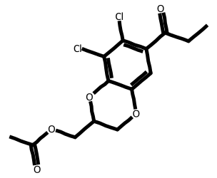 CCC(=O)c1cc2c(c(Cl)c1Cl)OC(COC(C)=O)CO2